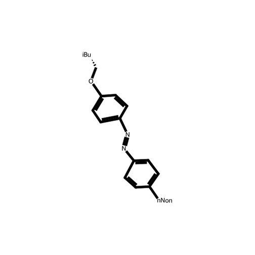 CCCCCCCCCc1ccc(/N=N/c2ccc(OC[C@@H](C)CC)cc2)cc1